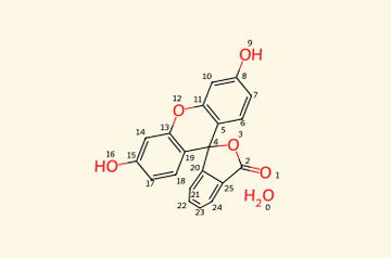 O.O=C1OC2(c3ccc(O)cc3Oc3cc(O)ccc32)c2ccccc21